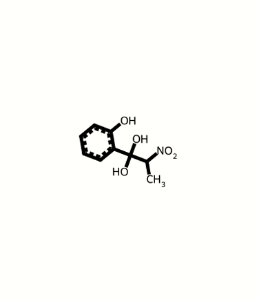 CC([N+](=O)[O-])C(O)(O)c1ccccc1O